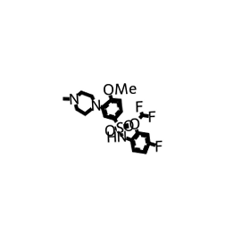 COc1ccc(S(=O)(=O)Nc2ccc(F)cc2OC(F)F)cc1N1CCN(C)CC1